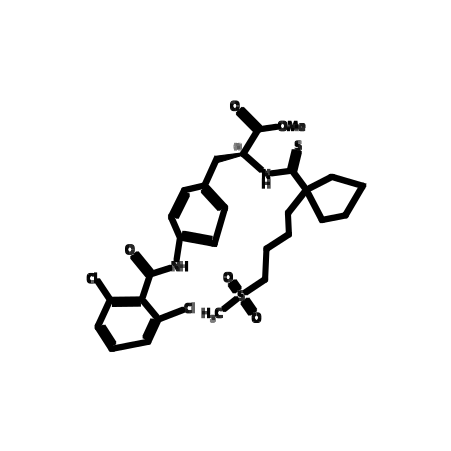 COC(=O)[C@H](Cc1ccc(NC(=O)c2c(Cl)cccc2Cl)cc1)NC(=S)C1(CCCCS(C)(=O)=O)CCCC1